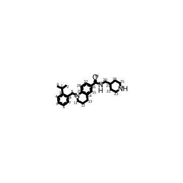 CC(C)c1ccccc1CN1CCCc2cc(C(=O)NCC3CCNCC3)ccc21